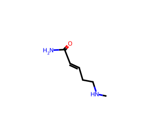 CNCCC=CC(N)=O